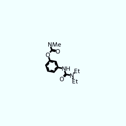 CCN(CC)C(=O)Nc1cccc(OC(=O)NC)c1